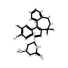 Cc1cc(C2=C(C=C[C@H]3C[C@H](O)CC(=O)O3)C(C)(C)CCc3ccccc32)ccc1F